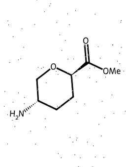 COC(=O)[C@H]1CC[C@H](N)CO1